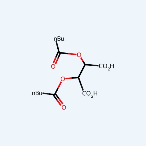 CCCCC(=O)OC(C(=O)O)C(OC(=O)CCCC)C(=O)O